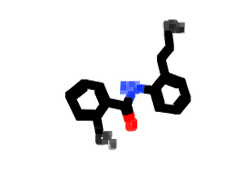 CC(C)(C)CCc1ccccc1NC(=O)c1ccccc1C(F)(F)F